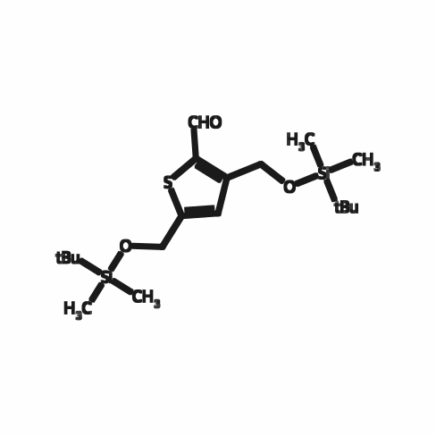 CC(C)(C)[Si](C)(C)OCc1cc(CO[Si](C)(C)C(C)(C)C)c(C=O)s1